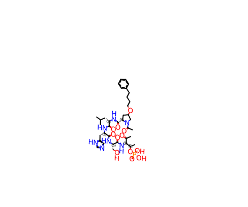 CC(=O)[C@@H](NC(=O)[C@H](CO)NC(=O)[C@H](Cc1cnc[nH]1)NC(=O)[C@H](CC(C)C)NC(=O)[C@@H]1CC(OCCCCc2ccccc2)CN1C(C)=O)[C@@H](C)OP(=O)(O)O